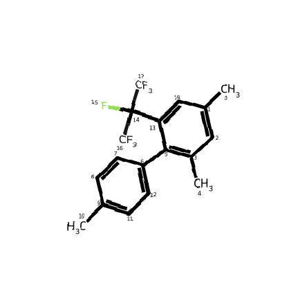 Cc1[c]c(C)c(-c2ccc(C)cc2)c(C(F)(C(F)(F)F)C(F)(F)F)c1